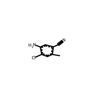 Cc1cc(Cl)c(N)cc1C#N